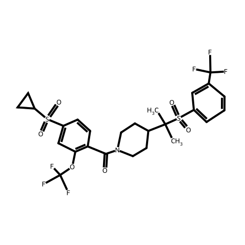 CC(C)(C1CCN(C(=O)c2ccc(S(=O)(=O)C3CC3)cc2OC(F)(F)F)CC1)S(=O)(=O)c1cccc(C(F)(F)F)c1